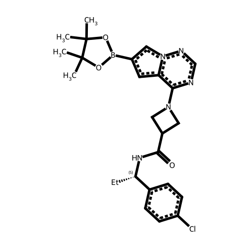 CC[C@H](NC(=O)C1CN(c2ncnn3cc(B4OC(C)(C)C(C)(C)O4)cc23)C1)c1ccc(Cl)cc1